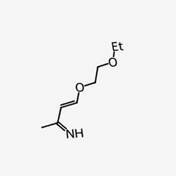 CCOCCO/C=C/C(C)=N